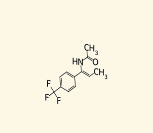 CC=C(NC(C)=O)c1ccc(C(F)(F)F)cc1